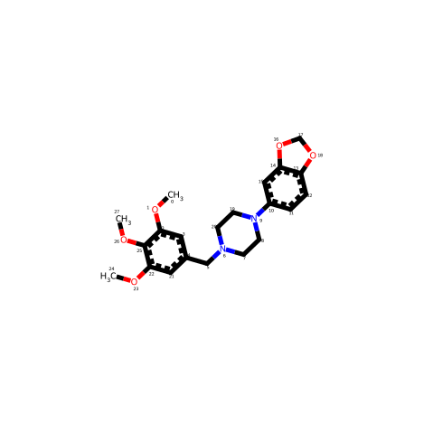 COc1cc(CN2CCN(c3ccc4c(c3)OCO4)CC2)cc(OC)c1OC